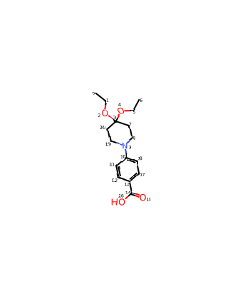 CCOC1(OCC)CCN(c2ccc(C(=O)O)cc2)CC1